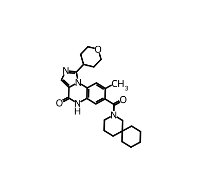 Cc1cc2c(cc1C(=O)N1CCCC3(CCCCC3)C1)[nH]c(=O)c1cnc(C3CCOCC3)n12